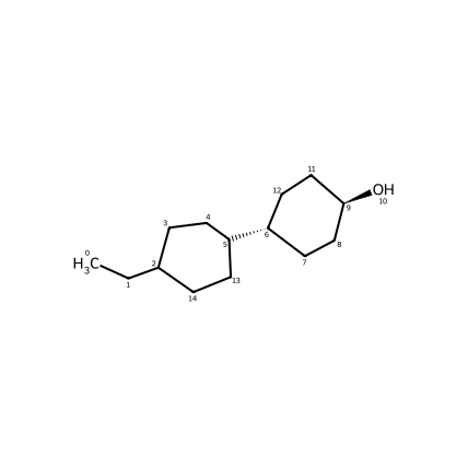 CCC1CCC([C@H]2CC[C@H](O)CC2)CC1